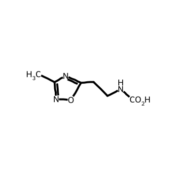 Cc1noc(CCNC(=O)O)n1